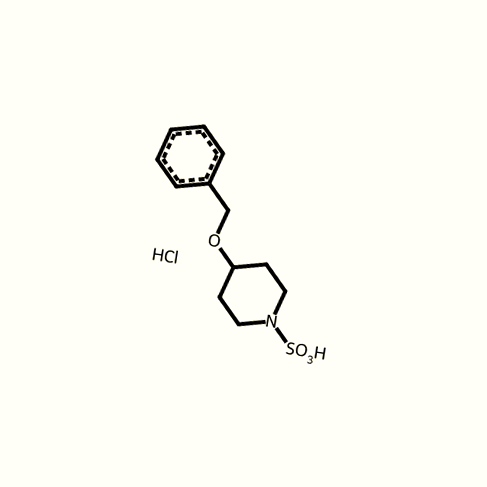 Cl.O=S(=O)(O)N1CCC(OCc2ccccc2)CC1